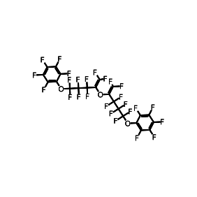 FC(F)=C(OC(=C(F)F)C(F)(F)C(F)(F)C(F)(F)Oc1c(F)c(F)c(F)c(F)c1F)C(F)(F)C(F)(F)C(F)(F)Oc1c(F)c(F)c(F)c(F)c1F